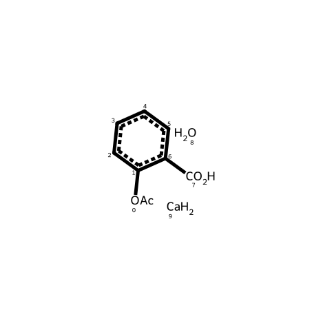 CC(=O)Oc1ccccc1C(=O)O.O.[CaH2]